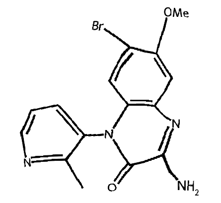 COc1cc2nc(N)c(=O)n(-c3cccnc3C)c2cc1Br